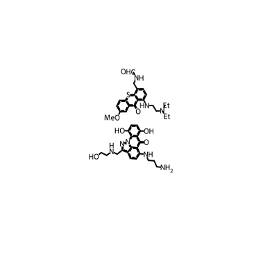 CCN(CC)CCNc1ccc(CNC=O)c2sc3ccc(OC)cc3c(=O)c12.NCCCNc1ccc2c(CNCCO)nn3c4c(O)ccc(O)c4c(=O)c1c23